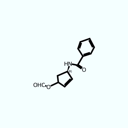 O=COC1C=C[C@H](NC(=O)c2ccccc2)C1